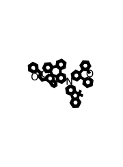 CC1(C)c2ccccc2-c2ccc(N(c3ccc4c(c3)-c3ccccc3Oc3ccccc3-4)c3ccc4c(c3)-c3ccccc3-c3ccccc3C43c4ccccc4-c4cc5oc6ccccc6c5cc43)cc21